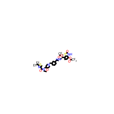 CCC(CC)c1nc(C(=O)N2CCOC3(CCN(Cc4cccc(CCNC[C@H](OC(=O)C(F)(F)F)c5ccc(OC(=O)C(F)(F)F)c6[nH]c(=O)sc56)c4)CC3)C2)cs1